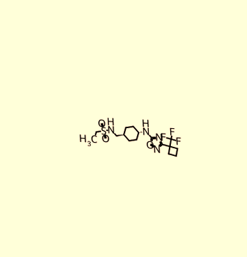 CCS(=O)(=O)NC[C@H]1CC[C@H](Nc2nc(C3(C(F)(F)F)CCC3)no2)CC1